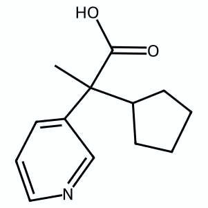 CC(C(=O)O)(c1cccnc1)C1CCCC1